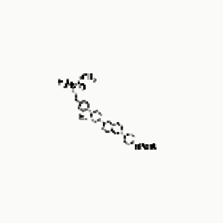 C=CC(=O)N(C)CCCc1ccc(C2CCC(C3CCC4CC(C5CCC(CCCCC)CC5)CCC4C3)CC2)c(CC)c1